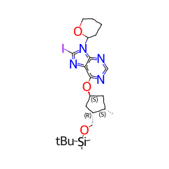 C[C@H]1C[C@H](Oc2ncnc3c2nc(I)n3C2CCCCO2)C[C@H]1CO[Si](C)(C)C(C)(C)C